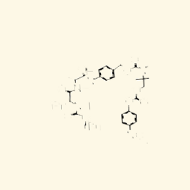 CC(C)[C@H](NC(=O)OC(C)(C)C)C(=O)N[C@@H](C)C(=O)Nc1ccc(COC(=O)N(C)C(C)(C)COC(=O)Oc2ccc([N+](=O)[O-])cc2)cc1